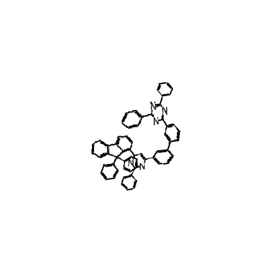 c1ccc(-c2nc(-c3cccc(-c4cccc(-c5nc(-c6ccccc6)nc(-c6ccccc6)n5)c4)c3)cc(-c3cccc4c3C(c3ccccc3)(c3ccccc3)c3ccccc3-4)n2)cc1